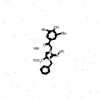 Br.CCC/N=c1\n(CC(=O)c2cc(C(C)(C)C)c(O)c(C(C)(C)C)c2)cc(C(=O)OCC)n1Cc1ccccc1